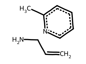 C=CCN.Cc1ccccn1